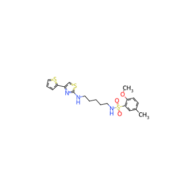 COc1ccc(C)cc1S(=O)(=O)NCCCCCNc1nc(-c2cccs2)cs1